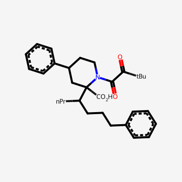 CCCC(CCCc1ccccc1)C1(C(=O)O)CC(c2ccccc2)CCN1C(=O)C(=O)C(C)(C)C